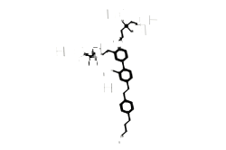 CCCCCc1ccc(CCc2ccc(-c3ccc(OCCC(CO)(CO)CCC)c(CCOC(=O)C(C)(C)C)c3)c(CC)c2)cc1